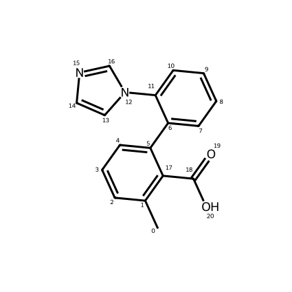 Cc1cccc(-c2ccccc2-n2ccnc2)c1C(=O)O